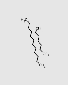 CCCCCCC.CCCCCCCCCCCC